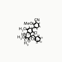 COc1c(C#N)cccc1-c1cc(C)c2c(c1Cl)C(C)(Cc1ccccc1)C(=O)C(C)(C)N2